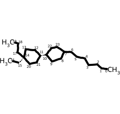 CCCCCCCC1CCC([C@H]2CC[C@](CC)(CCC)CC2)CC1